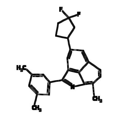 Cc1cc(C)cc(C2=Nc3c(C)ccc4cc(C5CCC(F)(F)C5)cc2c34)c1